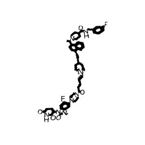 CC(c1ccc(C#CC2CCN(CCCCC(=O)N3CCN(c4cc5c(cc4F)n(C4CCC(=O)NC4=O)c(=O)n5C)CC3)CC2)c2ccccc12)N1CCC(C(=O)NCc2cccc(F)c2)CC1